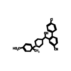 CC1(N2CCC(C(O)c3cc(C#N)ccc3-c3ccc(Cl)cc3)CC2)C=CC(C(=O)O)=CC1